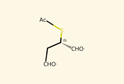 CC(=O)S[C@H]([C]=O)C[C]=O